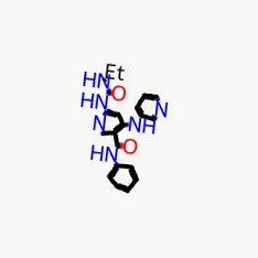 CCNC(=O)Nc1cc(Nc2cccnc2)c(C(=O)Nc2ccccc2)cn1